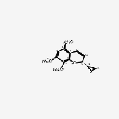 COc1cc(C=O)c2c(c1OC)O[C@@H](C1CC1)C=C2